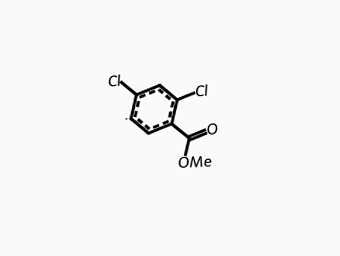 COC(=O)c1c[c]c(Cl)cc1Cl